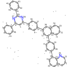 c1ccc(-c2cc(-c3ccc(-c4cc(-c5ccc(-c6cccc7cccnc67)cc5)c5ccccc5c4)cc3)nc(-c3ccccc3)n2)cc1